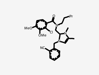 COc1ccc(C(=O)N(CCC(C)C)CC2N(Cc3ccccc3C#N)C=C(C)N2C)c(Cl)c1OC